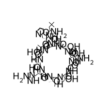 CC[C@H](C)[C@@H]1NC(=O)[C@@H](CCCNC(=N)N)NC(=O)[C@H](CC(C)C)NC(=O)[C@H]([C@H](O)C(C)C)NC(=O)[C@@H](NC(=O)[C@H](Cc2ccccn2)NC(=O)[C@H](N)CC(C)(C)C)[C@@H](c2ccccc2)NC(=O)[C@H](CO)NC(=O)[C@H]([C@H](O)C(N)=O)NC(=O)CNC(=O)[C@H]([C@H](C)O)NC1=O